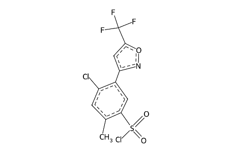 Cc1cc(Cl)c(-c2cc(C(F)(F)F)on2)cc1S(=O)(=O)Cl